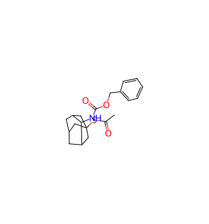 CC(=O)SC12CC3CC(C1)C(NC(=O)OCc1ccccc1)C(C3)C2